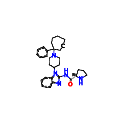 O=C(Nc1nc2ccccc2n1C1CCN(C2(c3ccccc3)CCCCCC2)CC1)[C@@H]1CCCN1